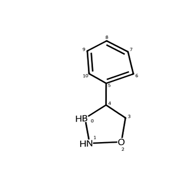 B1NOCC1c1ccccc1